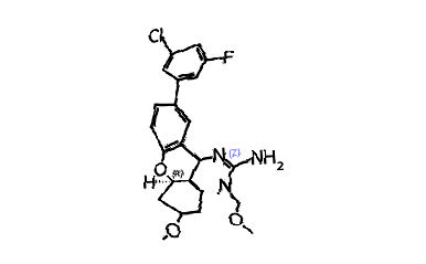 COCN(C)/C(N)=N\C1c2cc(-c3cc(F)cc(Cl)c3)ccc2O[C@@H]2CC(OC)CCC12